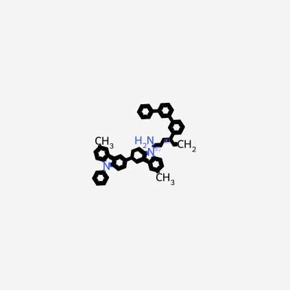 C=C/C(=C\C=C(/N)n1c2c(c3cc(C)ccc31)=CC(c1ccc3c(c1)c1cc(C)ccc1n3-c1ccccc1)CC=2)c1cccc(-c2cccc(-c3ccccc3)c2)c1